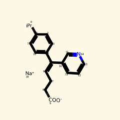 CC(C)c1ccc(C(=CCCC(=O)[O-])c2cccnc2)cc1.[Na+]